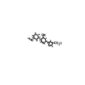 N#Cc1cc(-n2cc(C(=O)O)cn2)ncc1-c1cccc(OI)c1